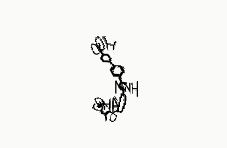 COC(=O)NC(C(=O)C1CCC(c2nc(-c3ccc(-c4ccc(C(=O)O)cc4)cc3)c[nH]2)N1)C(C)C